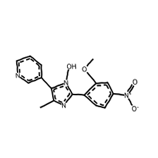 COc1cc([N+](=O)[O-])ccc1-c1nc(C)c(-c2cccnc2)n1O